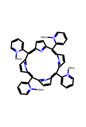 CCCCCCCCC[n+]1ccccc1C1=C2C=CC(=N2)C(c2cccc[n+]2CCCCCCCCC)=C2C=CC(=N2)C(c2cccc[n+]2CCCCCCCCC)=C2C=CC(=N2)C(c2cccc[n+]2CCCCCCCCC)=C2C=CC1=N2